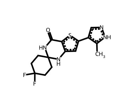 Cc1[nH]ncc1-c1cc2c(s1)C(=O)NC1(CCC(F)(F)CC1)N2